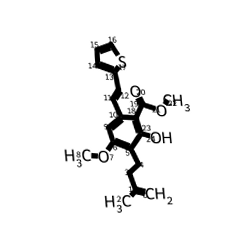 C=C(C)CCc1c(OC)cc(/C=C/c2cccs2)c(C(=O)OC)c1O